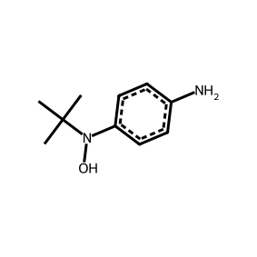 CC(C)(C)N(O)c1ccc(N)cc1